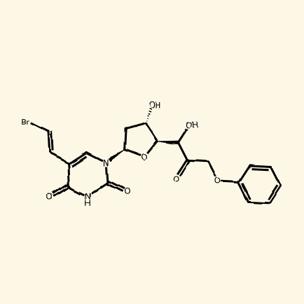 O=C(COc1ccccc1)C(O)[C@H]1O[C@@H](n2cc(C=CBr)c(=O)[nH]c2=O)C[C@@H]1O